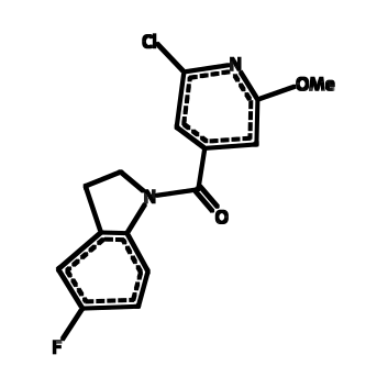 COc1cc(C(=O)N2CCc3cc(F)ccc32)cc(Cl)n1